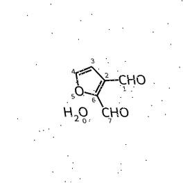 O.O=Cc1ccoc1C=O